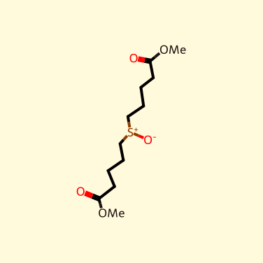 COC(=O)CCCC[S+]([O-])CCCCC(=O)OC